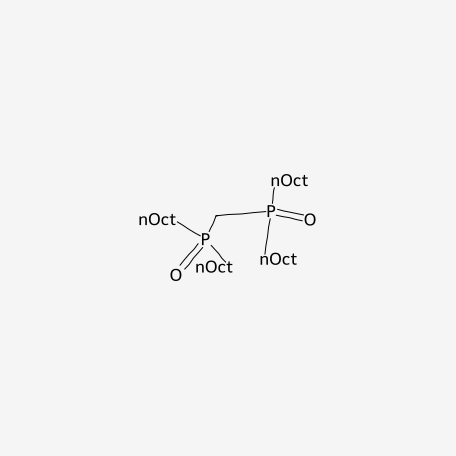 CCCCCCCCP(=O)(CCCCCCCC)CP(=O)(CCCCCCCC)CCCCCCCC